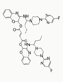 CCCC(NC1=Nc2ccccc2OC1OC(=O)/C=C/C(=O)OC1Oc2ccccc2N=C1NC(CCC)N1CCN(c2ncc(F)cn2)CC1)N1CCN(c2ncc(F)cn2)CC1